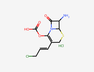 Cl.NC1C(=O)N2C(OC(=O)O)=C(C=CCCl)CSC12